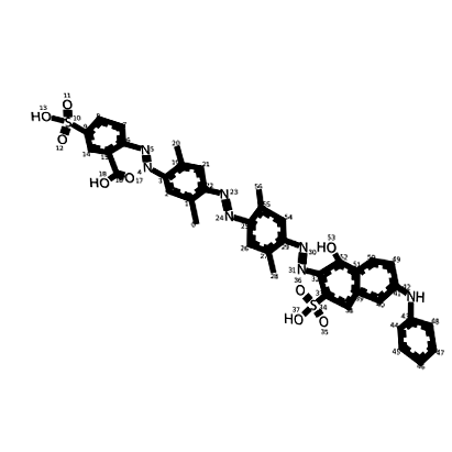 Cc1cc(N=Nc2ccc(S(=O)(=O)O)cc2C(=O)O)c(C)cc1N=Nc1cc(C)c(N=Nc2c(S(=O)(=O)O)cc3cc(Nc4ccccc4)ccc3c2O)cc1C